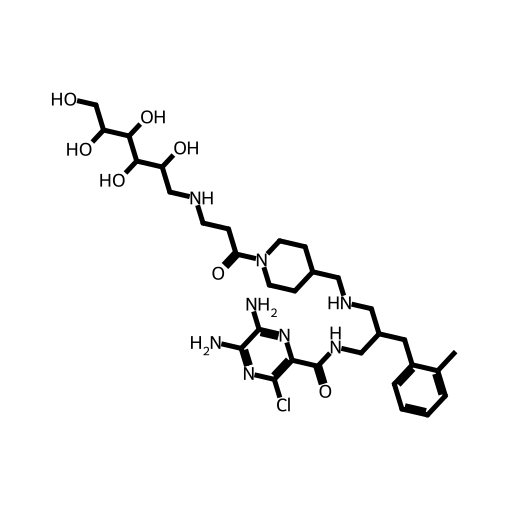 Cc1ccccc1CC(CNCC1CCN(C(=O)CCNCC(O)C(O)C(O)C(O)CO)CC1)CNC(=O)c1nc(N)c(N)nc1Cl